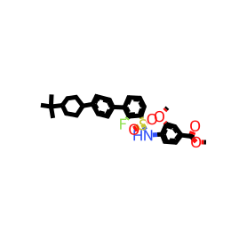 COC(=O)c1ccc(NS(=O)(=O)c2cccc(-c3ccc(C4CCC(C(C)(C)C)CC4)cc3)c2F)c(OC)c1